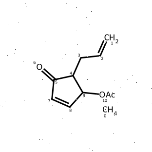 C.C=CCC1C(=O)C=CC1OC(C)=O